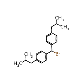 CC(C)Cc1ccc(C(Br)c2ccc(CC(C)C)cc2)cc1